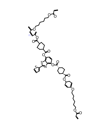 C=CC(=O)OCCCCCCOC(=C)/C=C\C(=C)OC(=O)C1CCC(C(=O)Oc2ccc(OC(=O)[C@H]3CC[C@H](C(=O)OC4C=CC(OCCCCCCOC(=O)C=C)=CC4)CC3)c3nc(-c4cccs4)sc23)CC1